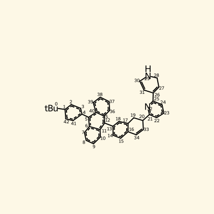 CC(C)(C)c1ccc(-c2c3ccccc3c(-c3ccc4c(c3)CC(c3cccc(C5=CCNC=C5)n3)C=C4)c3ccccc23)cc1